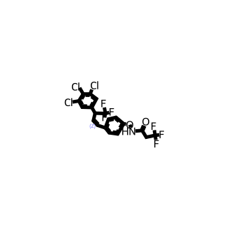 O=C(CC(F)(F)F)NOc1ccc(/C=C\C(c2cc(Cl)c(Cl)c(Cl)c2)C(F)(F)F)cc1